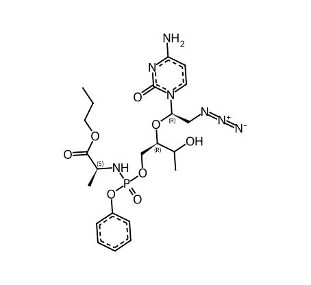 CCCOC(=O)[C@H](C)NP(=O)(OC[C@@H](O[C@H](CN=[N+]=[N-])n1ccc(N)nc1=O)C(C)O)Oc1ccccc1